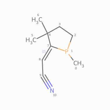 CP1CCC(C)(C)/C1=C/C#N